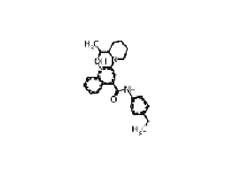 CCc1ccc(NC(=O)c2cc(N3CCCCC3C(C)O)nc3ccccc23)cc1